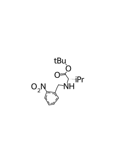 CC(C)[C@H](NCc1ccccc1[N+](=O)[O-])C(=O)OC(C)(C)C